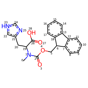 CN(C(=O)OCC1c2ccccc2-c2ccccc21)C(Cc1c[nH]cn1)C(=O)O